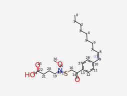 CCCCCCCC/C=C\c1ccc(C(=O)CSN(CCCC(=O)O)OC)cc1